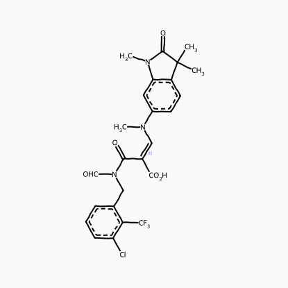 CN(/C=C(/C(=O)O)C(=O)N(C=O)Cc1cccc(Cl)c1C(F)(F)F)c1ccc2c(c1)N(C)C(=O)C2(C)C